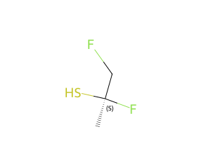 C[C@](F)(S)CF